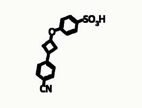 N#Cc1ccc(C2CC(Oc3ccc(S(=O)(=O)O)cc3)C2)cc1